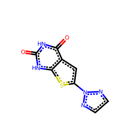 O=c1[nH]c(=O)c2cc(-n3nccn3)sc2[nH]1